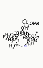 COc1cnc(O[C@@H]2C[C@H]3C(=O)N[C@]4(C(=O)NS(=O)(=O)C5(CF)CC5)C[C@H]4/C=C\CC[C@H](C)C[C@@H](C)[C@H](N(C(=O)O)C(C)(C)CC(F)(F)F)C(=O)N3C2)c2ccccc12